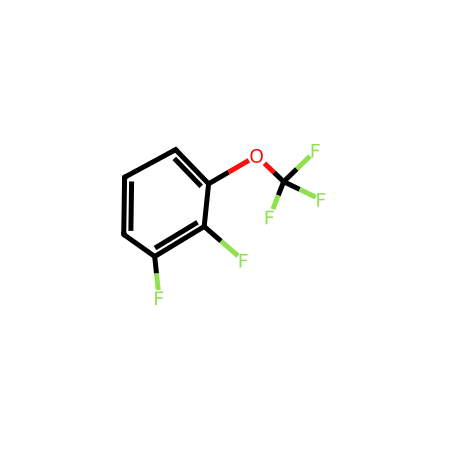 Fc1cccc(OC(F)(F)F)c1F